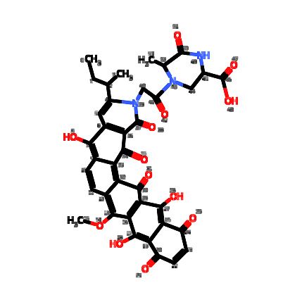 CCC(C)c1cc2c(O)c3ccc4c(OC)c5c(O)c6c(=O)ccc(=O)c6c(O)c5c(=O)c4c3c(=O)c2c(=O)n1CC(=O)N1CC(C(=O)O)NC(=O)C1C